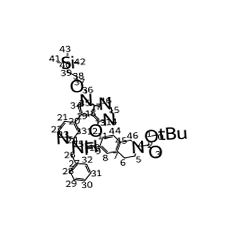 CC(C)(C)OC(=O)N1CCc2cc(F)c(Oc3ncnc4c3c(-c3ccnc(NCc5ccccc5)c3)cn4COCC[Si](C)(C)C)cc2C1